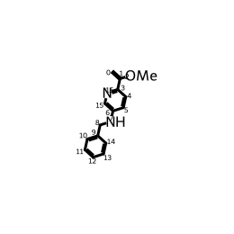 C=C(OC)c1ccc(NCc2ccccc2)cn1